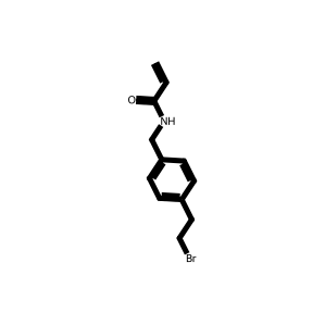 C=CC(=O)NCc1ccc(CCBr)cc1